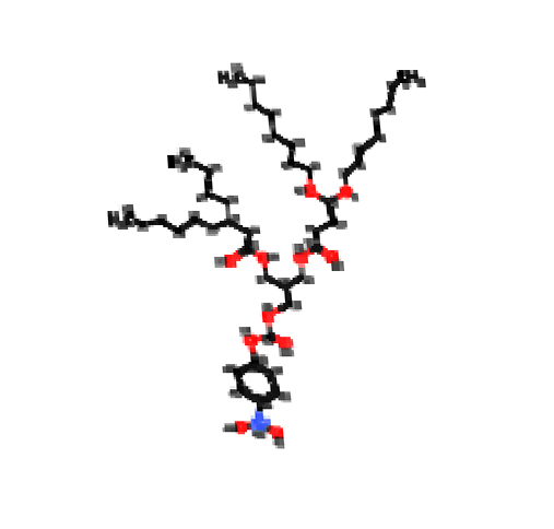 CCCCCCCCOC(CCC(=O)OCC(COC(=O)CC(CCCC)CCCCCC)COC(=O)Oc1ccc([N+](=O)[O-])cc1)OCCCCCCCC